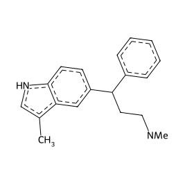 CNCCC(c1ccccc1)c1ccc2[nH]cc(C)c2c1